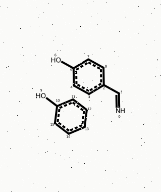 N=Cc1ccc(O)cc1.Oc1ccccc1